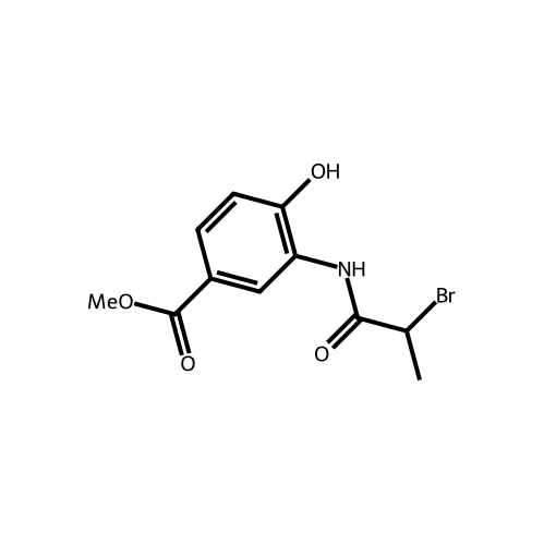 COC(=O)c1ccc(O)c(NC(=O)C(C)Br)c1